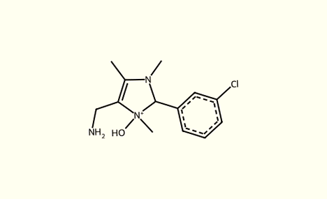 CC1=C(CN)[N+](C)(O)C(c2cccc(Cl)c2)N1C